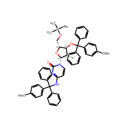 COc1ccc(C(Nc2ccn([C@@H]3O[C@H](CO[Si](C)(C)C(C)(C)C)[C@@H](OC(c4ccccc4)(c4ccccc4)c4ccc(OC)cc4)[C@@H]3F)c(=O)n2)(c2ccccc2)c2ccccc2)cc1